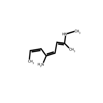 C\C=C/C(N)=C\C=C(/C)NC